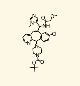 COCC(=O)NC(C1=Cc2cccnc2C(N2CCN(C(=O)OC(C)(C)C)CC2)c2ccc(Cl)cc21)c1cncn1C